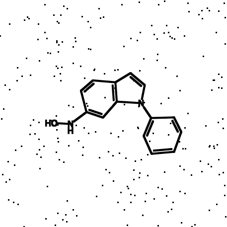 ONc1ccc2ccn(-c3ccccc3)c2c1